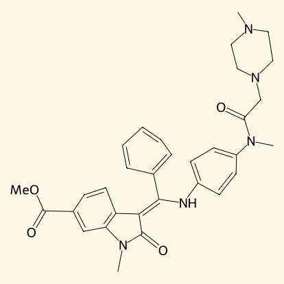 COC(=O)c1ccc2c(c1)N(C)C(=O)/C2=C(\Nc1ccc(N(C)C(=O)CN2CCN(C)CC2)cc1)c1ccccc1